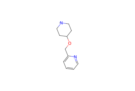 c1ccc(COC2CC[N]CC2)nc1